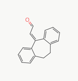 O=CC=C1c2ccccc2CCc2ccccc21